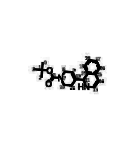 CC(C)(C)OC(=O)N1CC=C(C2NC=Cc3ccccc32)CC1